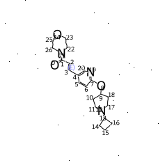 O=C(/C=C/c1ccc(OC2CCN(C3CCC3)CC2)nc1)N1CCOCC1